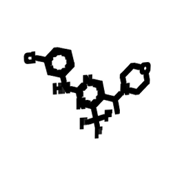 CC(c1cnc(Nc2cccc(Cl)c2)nc1C(F)(F)F)N1CCOCC1